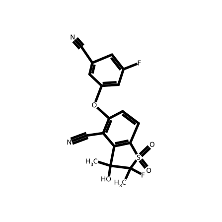 CC1(O)c2c(ccc(Oc3cc(F)cc(C#N)c3)c2C#N)S(=O)(=O)C1(C)F